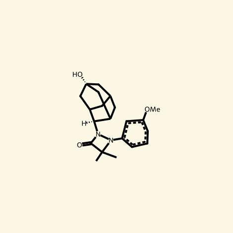 COc1cccc(N2N([C@H]3C4CC5CC3C[C@](O)(C5)C4)C(=O)C2(C)C)c1